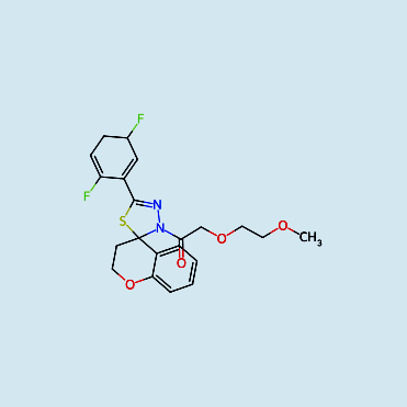 COCCOCC(=O)N1N=C(C2=CC(F)CC=C2F)SC12CCOc1ccccc12